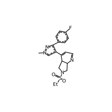 CCS(=O)(=O)N1CC2N=CC=C(c3cn(C)nc3-c3ccc(F)cc3)C2C1